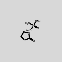 COP(N)(=O)SC.O=C1NCCS1